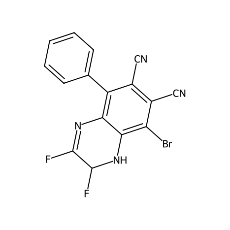 N#Cc1c(Br)c2c(c(-c3ccccc3)c1C#N)N=C(F)C(F)N2